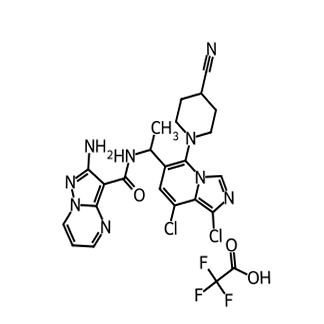 CC(NC(=O)c1c(N)nn2cccnc12)c1cc(Cl)c2c(Cl)ncn2c1N1CCC(C#N)CC1.O=C(O)C(F)(F)F